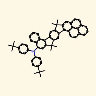 CC(C)(C)c1ccc(N(c2ccc(C(C)(C)C)cc2)c2cc3c(c4ccccc24)-c2cc4c(cc2C3(C)C)-c2c(cc3ccc5cccc6ccc2c3c56)C4(C)C)cc1